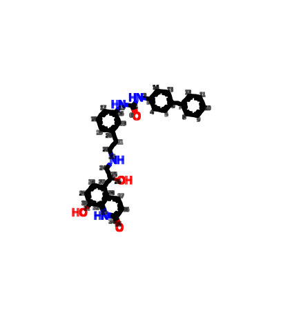 O=C(Nc1ccc(-c2ccccc2)cc1)Nc1cccc(CCNC[C@@H](O)c2ccc(O)c3[nH]c(=O)ccc23)c1